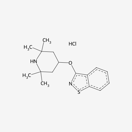 CC1(C)CC(Oc2nsc3ccccc23)CC(C)(C)N1.Cl